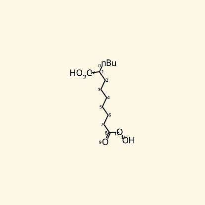 CCCCC(CCCCCCC(=O)OO)C(=O)O